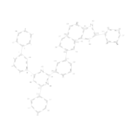 c1ccc(-c2cccc(-c3cc(-c4ccccc4)nc(-c4cccc(-c5ccc6ccc7nc(-c8ccccc8)sc7c6c5)c4)n3)c2)cc1